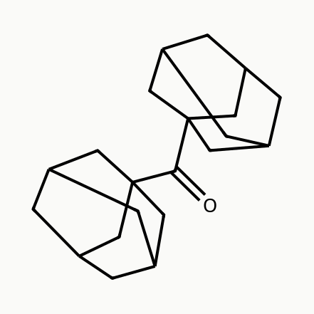 O=C(C12CC3CC(CC(C3)C1)C2)C12CC3CC(CC(C3)C1)C2